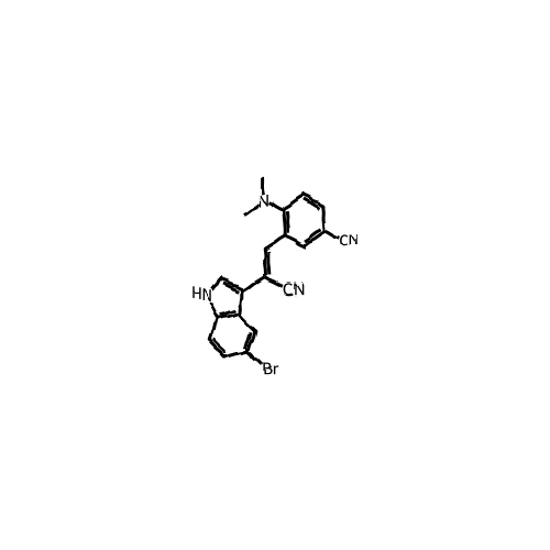 CN(C)c1ccc(C#N)cc1/C=C(\C#N)c1c[nH]c2ccc(Br)cc12